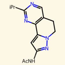 CC(=O)Nc1cc2n(n1)CCc1cnc(C(C)C)nc1-2